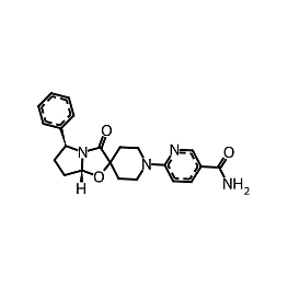 NC(=O)c1ccc(N2CCC3(CC2)O[C@@H]2CC[C@@H](c4ccccc4)N2C3=O)nc1